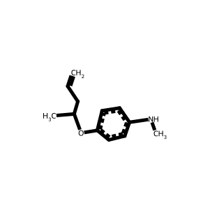 C=CCC(C)Oc1ccc(NC)cc1